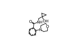 O=C(NCC1(O)CC1)c1ccccc1N1CCOCC1